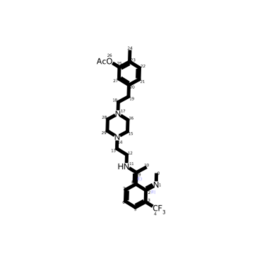 C/N=C1/C(C(F)(F)F)=CC=C/C1=C(/C)NCCN1CCN(CCc2ccc(C)c(OC(C)=O)c2)CC1